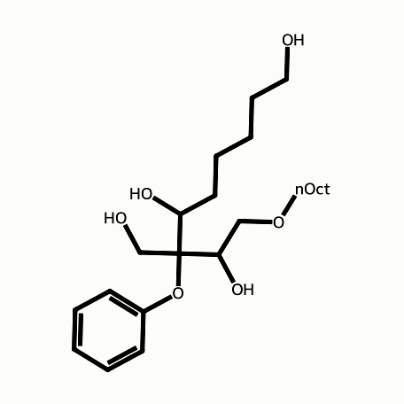 CCCCCCCCOCC(O)C(CO)(Oc1ccccc1)C(O)CCCCCO